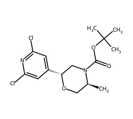 C[C@H]1CO[C@H](c2cc(Cl)nc(Cl)c2)CN1C(=O)OC(C)(C)C